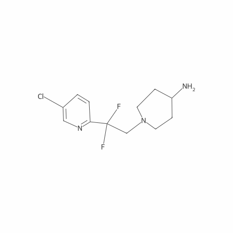 NC1CCN(CC(F)(F)c2ccc(Cl)cn2)CC1